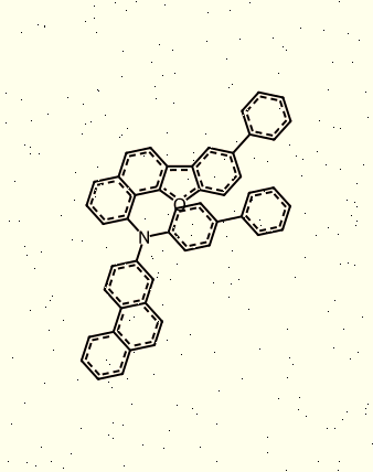 c1ccc(-c2ccc(N(c3ccc4c(ccc5ccccc54)c3)c3cccc4ccc5c6cc(-c7ccccc7)ccc6oc5c34)cc2)cc1